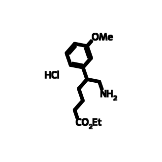 CCOC(=O)CCCC(CN)c1cccc(OC)c1.Cl